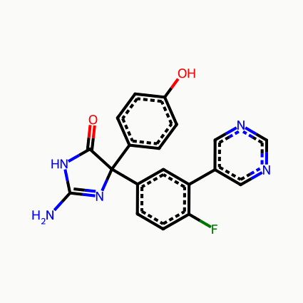 NC1=NC(c2ccc(O)cc2)(c2ccc(F)c(-c3cncnc3)c2)C(=O)N1